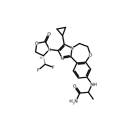 CC(Nc1ccc2c(c1)OCCn1c-2nc(N2C(=O)OC[C@H]2C(F)F)c1C1CC1)C(N)=O